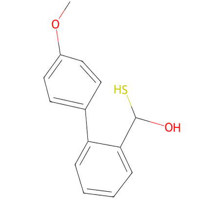 COc1ccc(-c2ccccc2C(O)S)cc1